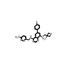 Cc1ccc(CNc2ncnc3c(OCC4(C)COC4)cc(-c4ccc(F)cc4)cc23)nn1